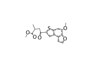 COC(=O)C(C)CC(=O)c1cc2c(cc(OC)c3occc32)s1